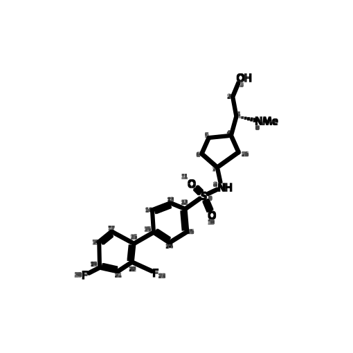 CN[C@@H](CO)C1CCC(NS(=O)(=O)c2ccc(-c3ccc(F)cc3F)cc2)C1